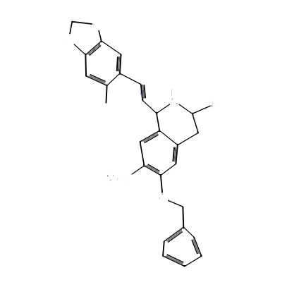 CCC1Cc2cc(OCc3ccccc3)c(OC)cc2C(/C=C/c2cc3c(cc2C)OCO3)N1